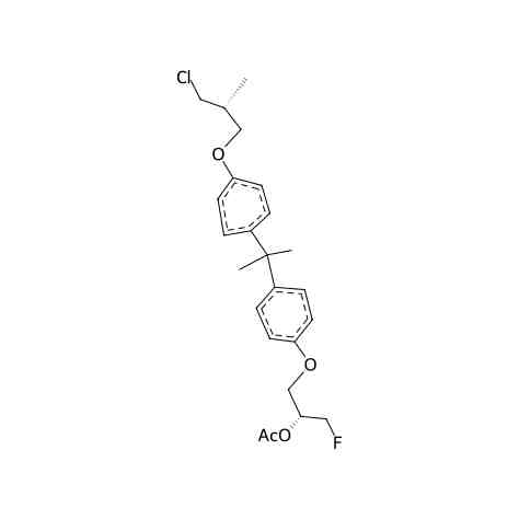 CC(=O)O[C@@H](CF)COc1ccc(C(C)(C)c2ccc(OC[C@@H](C)CCl)cc2)cc1